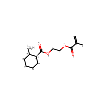 C=C(C)C(=O)OCCOC(=O)[C@H]1CCCCC1C(=O)O